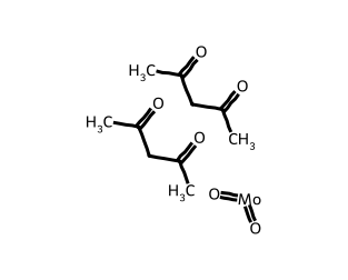 CC(=O)CC(C)=O.CC(=O)CC(C)=O.[O]=[Mo]=[O]